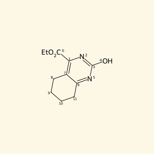 CCOC(=O)c1nc(O)nc2c1CCCC2